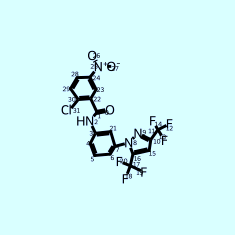 O=C(Nc1cccc(-n2nc(C(F)(F)F)cc2C(F)(F)F)c1)c1cc([N+](=O)[O-])ccc1Cl